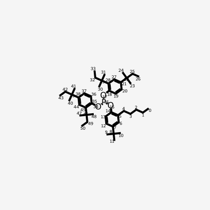 CCCCCc1cc(C(C)(C)C)ccc1OP(Oc1ccc(C(C)(C)CC)cc1C(C)(C)CC)Oc1ccc(C(C)(C)CC)cc1C(C)(C)CC